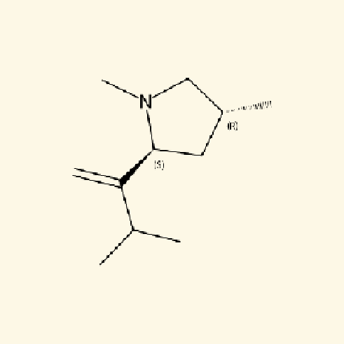 C=C(C(C)C)[C@@H]1C[C@@H](C)CN1C